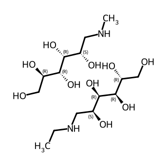 CCNC[C@H](O)[C@@H](O)[C@H](O)[C@H](O)CO.CNC[C@H](O)[C@@H](O)[C@H](O)[C@H](O)CO